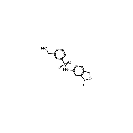 CB1OCc2ccc(NS(=O)(=O)c3cccc(CO)c3)cc21